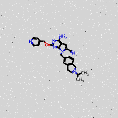 CC(C)N1CCc2cc(Cn3c(C#N)cc4c(N)nc(OCc5ccncc5)nc43)ccc2C1